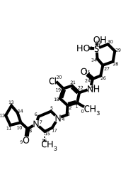 Cc1c(CN2CCN(C(=O)C3CCCC3)[C@@H](C)C2)cc(Cl)cc1NC(=O)CC1CCCS(O)(O)C1